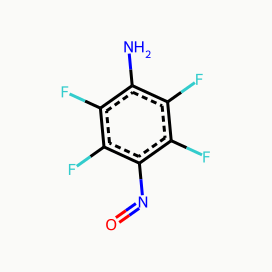 Nc1c(F)c(F)c(N=O)c(F)c1F